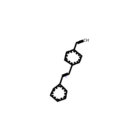 [CH]=Cc1ccc(/C=C/c2ccccc2)cc1